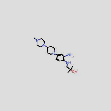 CN1CCN(C2CCN(c3ccc(N[CH]C(C)(C)O)c(N)c3)CC2)CC1